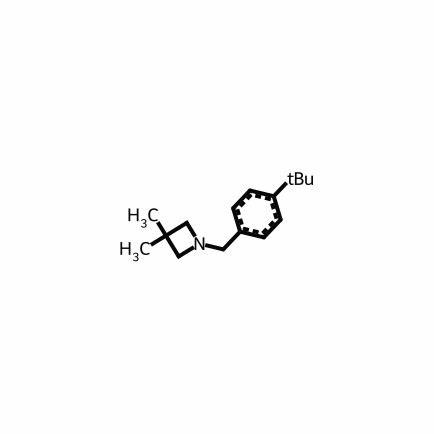 CC1(C)CN(Cc2ccc(C(C)(C)C)cc2)C1